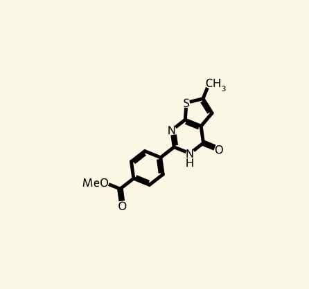 COC(=O)c1ccc(-c2nc3sc(C)cc3c(=O)[nH]2)cc1